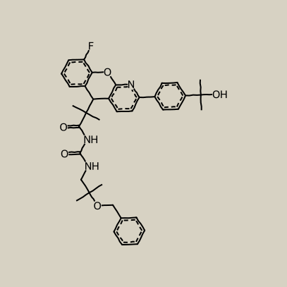 CC(C)(CNC(=O)NC(=O)C(C)(C)C1c2ccc(-c3ccc(C(C)(C)O)cc3)nc2Oc2c(F)cccc21)OCc1ccccc1